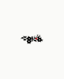 C[C@@H]1CN(c2ccc(F)cc2C(F)(F)F)CCN1S(=O)(=O)c1ccc(N2CCN(C)CC2)c2ccccc12